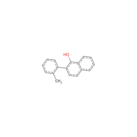 Cc1ccccc1-c1ccc2ccccc2c1O